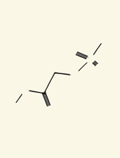 COC(=O)COS(C)(=O)=O